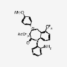 COc1ccc([C@@H]2Cc3c(cccc3C(F)(F)F)N(c3ccccc3N)C(=O)[C@@H]2OC(C)=O)cc1